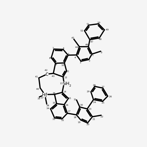 Cc1ccc(-c2cccc3c2C=C2[SiH2]C4=Cc5c(-c6ccc(C)c(-c7ccccc7)c6C)cccc5[CH]4[Hf]([CH3])([CH3])[CH2]CCC23)c(C)c1-c1ccccc1